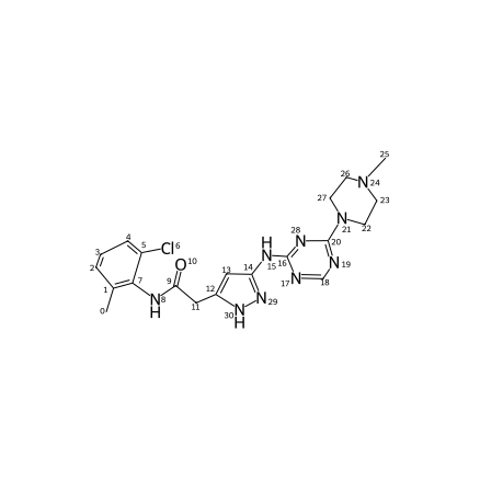 Cc1cccc(Cl)c1NC(=O)Cc1cc(Nc2ncnc(N3CCN(C)CC3)n2)n[nH]1